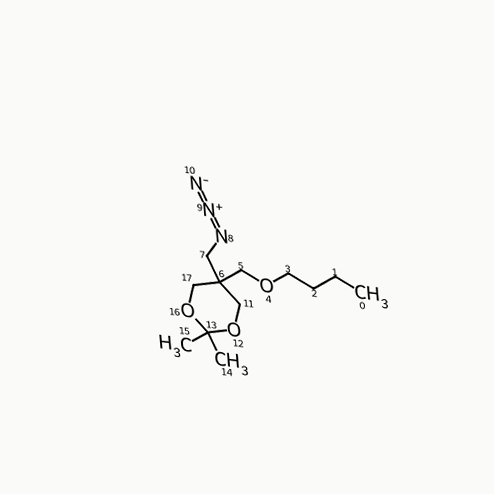 CCCCOCC1(CN=[N+]=[N-])COC(C)(C)OC1